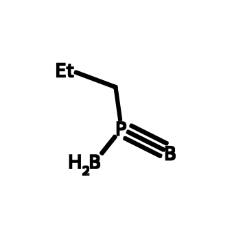 B#P(B)CCC